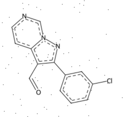 O=Cc1c(-c2cccc(Cl)c2)nn2cnccc12